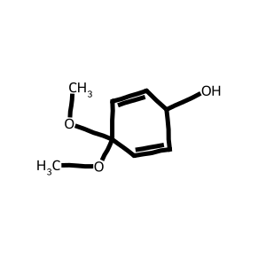 COC1(OC)C=CC(O)C=C1